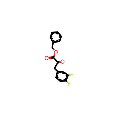 O=C(Cc1ccc(F)c(F)c1)C(=O)OCc1ccccc1